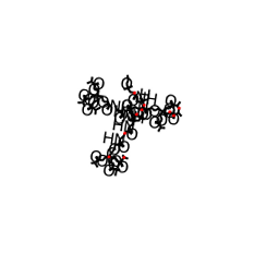 CCOC(C)(C)CCC(=O)NC(C)(C)CCOC(C)(C)CC(CNC(=O)CCNC(=O)COCC(COC(=O)C(C)C)(COC(=O)C(C)C)COC(=O)C(C)C)(CNC(=O)CCNC(=O)COCC(COC(=O)C(C)C)(COC(=O)C(C)C)COC(=O)C(C)C)CNC(=O)CCNC(=O)COCC(COC(=O)C(C)C)(COC(=O)C(C)C)COC(=O)C(C)C